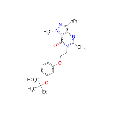 CCCc1nn(C)c2c(=O)n(CCOc3cccc(OC(C)(CC)C(=O)O)c3)c(C)nc12